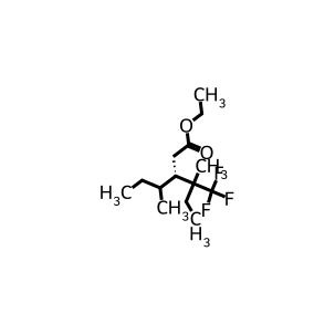 CCOC(=O)C[C@@H](C(C)CC)C(C)(CC)C(F)(F)F